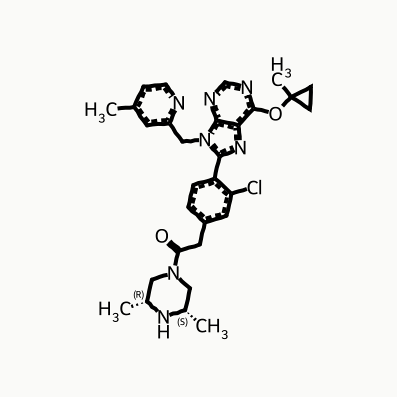 Cc1ccnc(Cn2c(-c3ccc(CC(=O)N4C[C@@H](C)N[C@@H](C)C4)cc3Cl)nc3c(OC4(C)CC4)ncnc32)c1